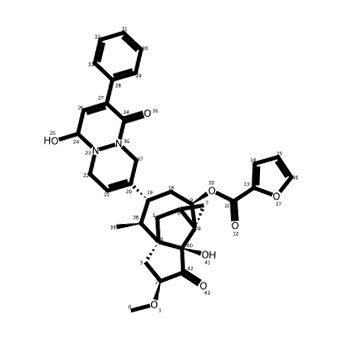 CO[C@H]1C[C@@]23CC4C[C@]4([C@H](OC(=O)c4ccco4)C[C@@H](C4=CCN5C(O)C=C(c6ccccc6)C(=O)N5C4)[C@@H]2C)[C@]3(O)C1=O